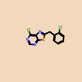 Clc1ccccc1Cc1nc2c(Cl)ncnc2s1